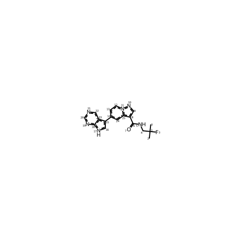 CC(C)(F)CNC(=O)c1cnn2ccc(-c3c[nH]c4ncncc34)cc12